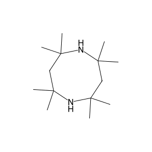 CC1(C)CC(C)(C)NC(C)(C)CC(C)(C)N1